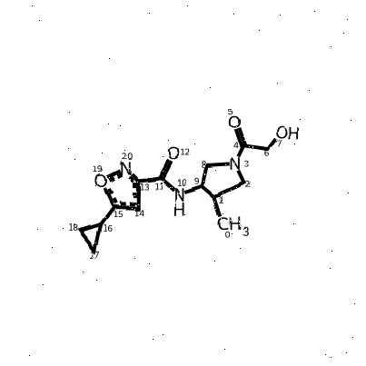 CC1CN(C(=O)CO)CC1NC(=O)c1cc(C2CC2)on1